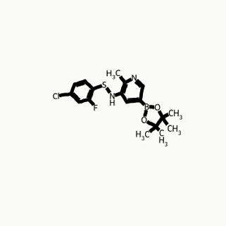 Cc1ncc(B2OC(C)(C)C(C)(C)O2)cc1NSc1ccc(Cl)cc1F